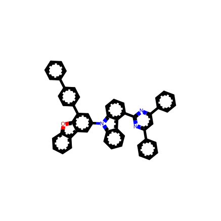 c1ccc(-c2ccc(-c3cc(-n4c5ccccc5c5c(-c6nc(-c7ccccc7)cc(-c7ccccc7)n6)cccc54)cc4c3oc3ccccc34)cc2)cc1